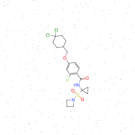 O=C(NC1(S(=O)(=O)N2CCC2)CC1)c1ccc(OCC2CCC(Cl)(Cl)CC2)cc1F